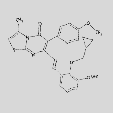 COc1cccc(C=Cc2nc3scc(C)n3c(=O)c2-c2ccc(OC(F)(F)F)cc2)c1OCC1CC1